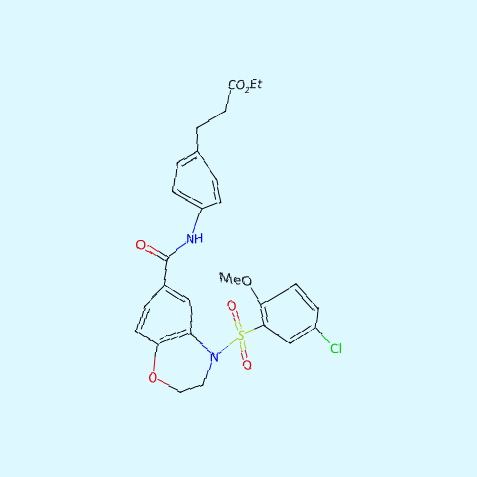 CCOC(=O)CCc1ccc(NC(=O)c2ccc3c(c2)N(S(=O)(=O)c2cc(Cl)ccc2OC)CCO3)cc1